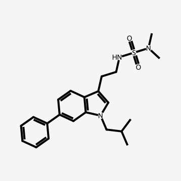 CC(C)Cn1cc(CCNS(=O)(=O)N(C)C)c2ccc(-c3ccccc3)cc21